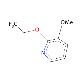 COc1cccnc1OCC(F)(F)F